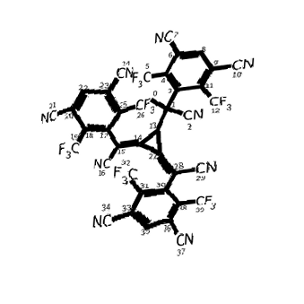 CC(C#N)(c1c(C(F)(F)F)c(C#N)cc(C#N)c1C(F)(F)F)C1C(=C(/C#N)c2c(C(F)(F)F)c(C#N)cc(C#N)c2C(F)(F)F)/C1=C(/C#N)c1c(C(F)(F)F)c(C#N)cc(C#N)c1C(F)(F)F